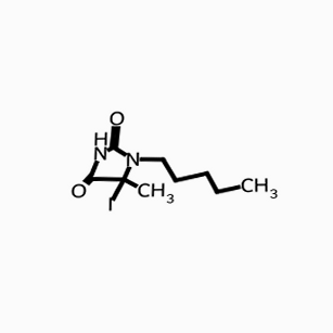 CCCCCN1C(=O)NC(=O)C1(C)I